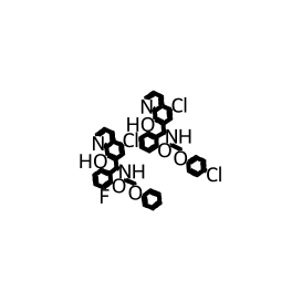 O=C(COc1ccc(Cl)cc1)NC(c1ccccc1)c1cc(Cl)c2cccnc2c1O.O=C(COc1ccccc1)NC(c1cccc(F)c1)c1cc(Cl)c2cccnc2c1O